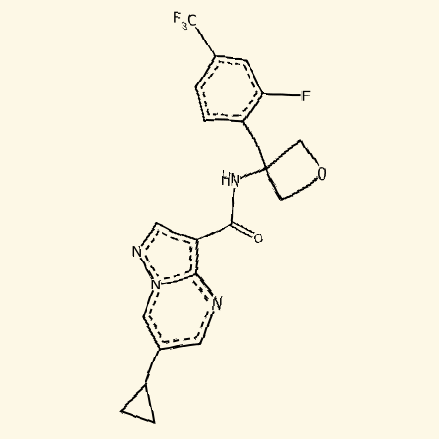 O=C(NC1(c2ccc(C(F)(F)F)cc2F)COC1)c1cnn2cc(C3CC3)cnc12